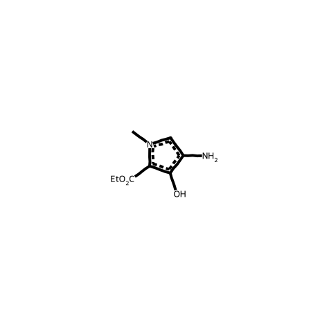 CCOC(=O)c1c(O)c(N)cn1C